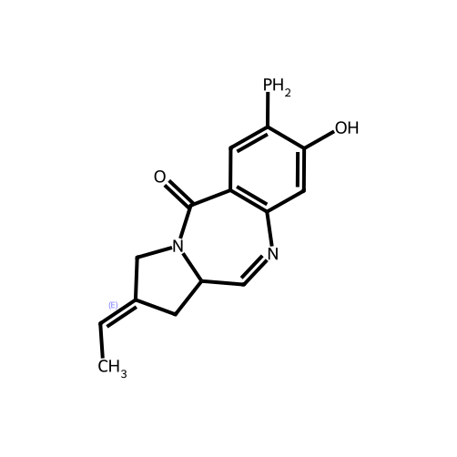 C/C=C1\CC2C=Nc3cc(O)c(P)cc3C(=O)N2C1